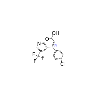 O=C(O)/C=C(/c1ccc(Cl)cc1)c1cncc(C(F)(F)F)c1